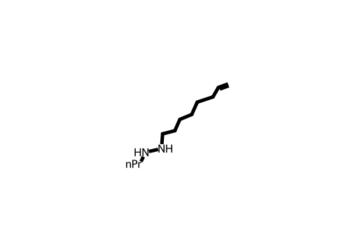 C=CCCCCCCNNCCC